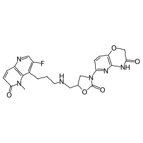 Cn1c(=O)ccc2ncc(F)c(CCCNCC3CN(c4ccc5c(n4)NC(=O)CO5)C(=O)O3)c21